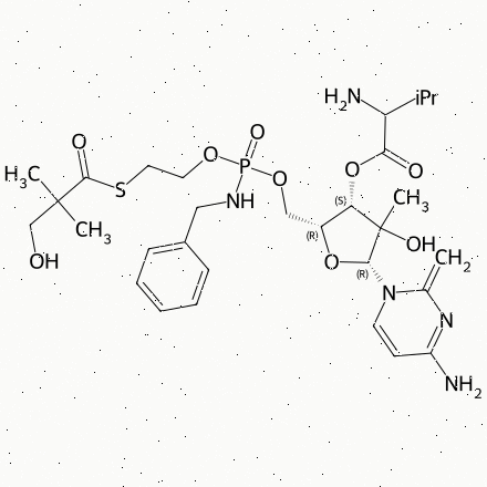 C=C1N=C(N)C=CN1[C@@H]1O[C@H](COP(=O)(NCc2ccccc2)OCCSC(=O)C(C)(C)CO)[C@H](OC(=O)C(N)C(C)C)C1(C)O